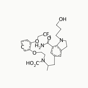 CC(Cc1cc2c(c(C(N)=O)c1)N(CCCO)CC2)N(CCOc1ccccc1OCC(F)(F)F)C(=O)O